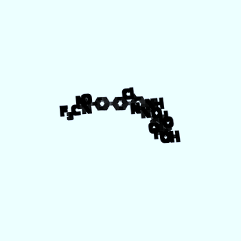 O[C@@H]1CO[C@H]2[C@@H]1OC[C@H]2Oc1nc2nc(-c3ccc(-c4ccc(-c5nc(C(F)(F)F)no5)cc4)cc3)c(Cl)cc2[nH]1